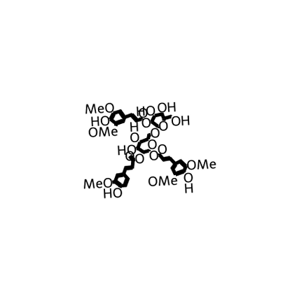 COc1cc(/C=C/C(=O)OC2C(OC(=O)/C=C/c3cc(OC)c(O)c(OC)c3)OC(COC3OC(CO)C(O)C(O)C3OC(=O)/C=C/c3cc(OC)c(O)c(OC)c3)C(O)C2O)ccc1O